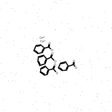 O=C([O-])c1ccccc1.O=C([O-])c1ccccc1.O=C([O-])c1ccccc1.O=C([O-])c1ccccc1.[Ca+2].[Ca+2]